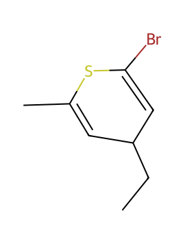 CCC1C=C(C)SC(Br)=C1